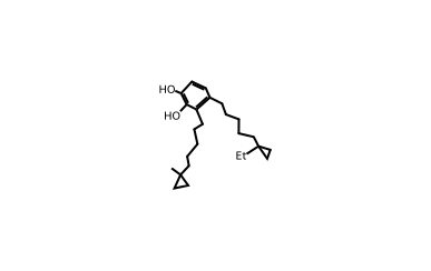 CCC1(CCCCCc2ccc(O)c(O)c2CCCCCC2(C)CC2)CC1